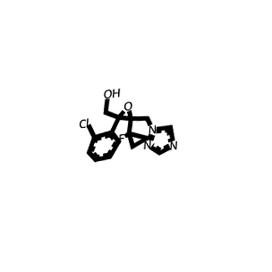 OCC1(c2ccccc2Cl)OC1(Cn1cncn1)C1(F)CC1